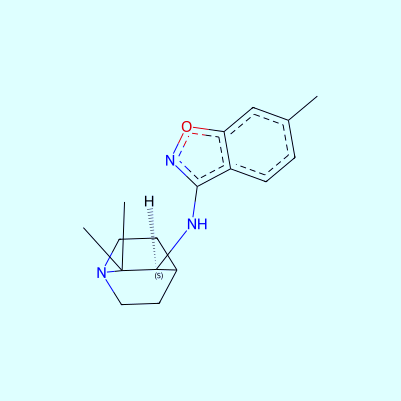 Cc1ccc2c(N[C@H]3C4CCN(CC4)C3(C)C)noc2c1